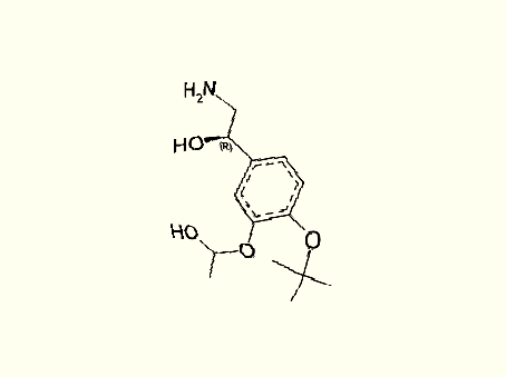 CC(O)Oc1cc([C@@H](O)CN)ccc1OC(C)(C)C